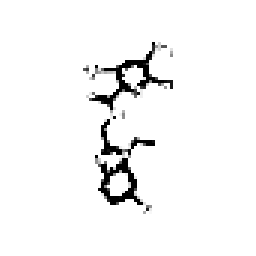 CCn1c(CNC(=O)c2nc(Cl)c(N)cc2N)nc2ccc(Br)cc21